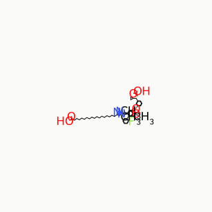 COc1cc(-c2ccccc2F)c(C(C)(C)n2cc(CCCCCCCCCCCCCCCCCC(=O)O)nn2)cc1COc1cccc([C@@H](CC(=O)O)C2CC2)c1